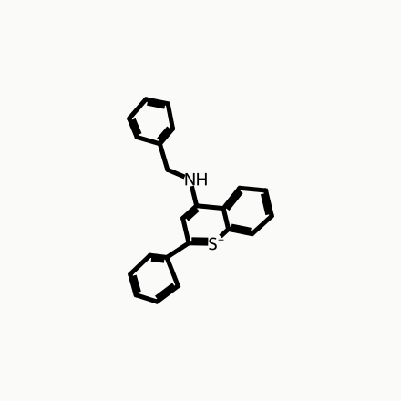 c1ccc(CNc2cc(-c3ccccc3)[s+]c3ccccc23)cc1